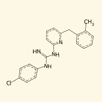 Cc1ccccc1Cc1cccc(NC(=N)Nc2ccc(Cl)cc2)n1